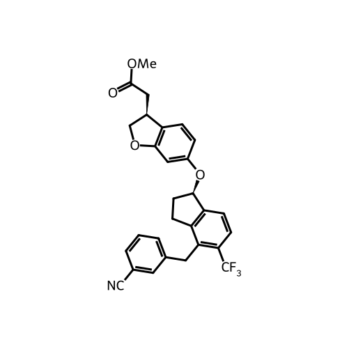 COC(=O)C[C@@H]1COc2cc(O[C@@H]3CCc4c3ccc(C(F)(F)F)c4Cc3cccc(C#N)c3)ccc21